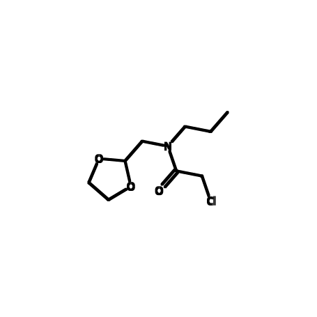 CCCN(CC1OCCO1)C(=O)CCl